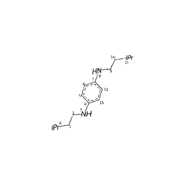 CC(C)CCNc1ccc(NCCC(C)C)cc1